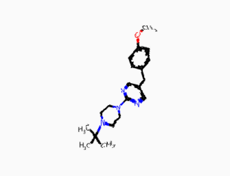 COc1ccc(Cc2cnc(N3CCN(C(C)(C)C)CC3)nc2)cc1